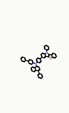 c1ccc(-c2ccc(N(c3ccc(-c4ccc5c(c4)c4oc6ccccc6c4n5-c4ccccc4)cc3)c3ccc(-c4ccccc4)c4ccccc34)cc2)cc1